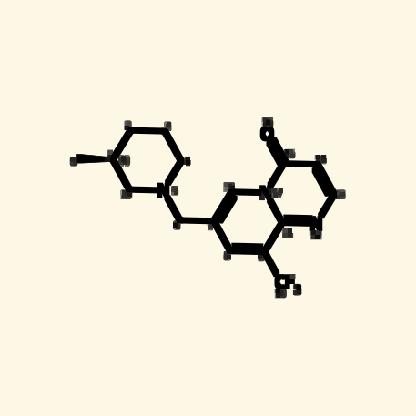 C[C@H]1CCCN(Cc2cc(C(F)(F)F)c3nccc(=O)n3c2)C1